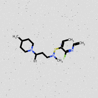 C=C/N=C(F)\C(=C/C)SN(C)CCC(CC)N1CCC(C)CC1